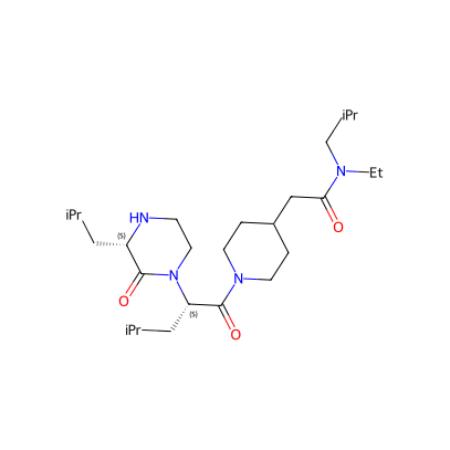 CCN(CC(C)C)C(=O)CC1CCN(C(=O)[C@H](CC(C)C)N2CCN[C@@H](CC(C)C)C2=O)CC1